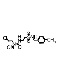 Cc1ccc(CNS(=O)(=O)CCNC(=O)N(CCCl)N=O)cc1